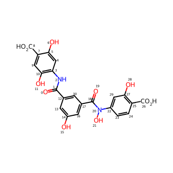 O=C(Nc1cc(O)c(C(=O)O)cc1O)c1cc(O)cc(C(=O)N(O)c2ccc(C(=O)O)c(O)c2)c1